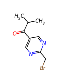 CC(C)C(=O)c1cnc(CBr)nc1